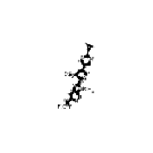 CCSc1cc(-c2cnc(C3CC3)nc2)cnc1-c1nc2cc(C(F)(F)C(F)(F)F)nnc2n1C